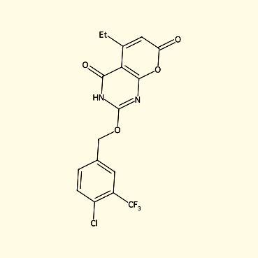 CCc1cc(=O)oc2nc(OCc3ccc(Cl)c(C(F)(F)F)c3)[nH]c(=O)c12